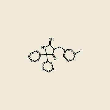 N=C1NC(c2ccccc2)(c2ccccc2)C(=O)N1Cc1cccc(F)c1